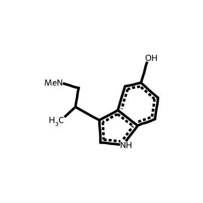 CNCC(C)c1c[nH]c2ccc(O)cc12